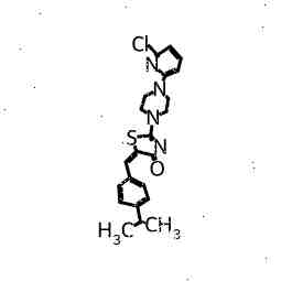 CC(C)c1ccc(C=C2SC(N3CCN(c4cccc(Cl)n4)CC3)=NC2=O)cc1